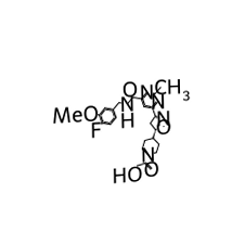 COc1cc(CNC(=O)c2cc(C3=NO[C@@H](C4CCN(C(=O)CO)CC4)C3)nc(C)n2)ccc1F